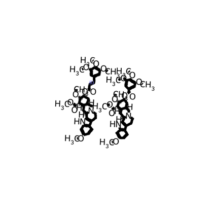 COC(=O)[C@H]1[C@H]2C[C@@H]3c4[nH]c5cc(OC)ccc5c4CCN3C[C@H]2C[C@@H](OC(=O)/C=C/c2cc(OC)c(OC)c(OC)c2)[C@@H]1OC.COC(=O)[C@H]1[C@H]2C[C@@H]3c4[nH]c5cc(OC)ccc5c4CCN3C[C@H]2C[C@@H](OC(=O)c2cc(OC)c(OC)c(OC)c2)[C@@H]1OC